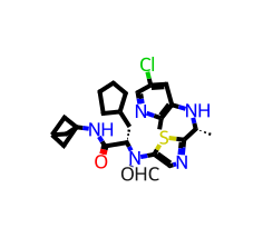 Cc1ncc(Cl)cc1N[C@H](C)c1ncc(N(C=O)[C@@H](CC2CCCC2)C(=O)NC23CC(C2)C3)s1